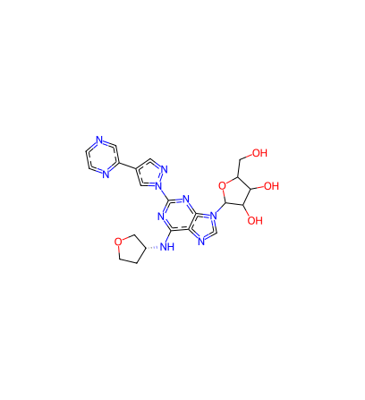 OCC1OC(n2cnc3c(N[C@@H]4CCOC4)nc(-n4cc(-c5cnccn5)cn4)nc32)C(O)C1O